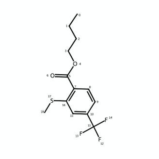 CCCCOC(=O)c1ccc(C(F)(F)F)cc1SC